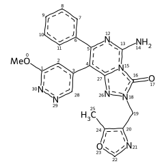 COc1cc(-c2c(-c3ccccc3)nc(N)n3c(=O)n(Cc4ncoc4C)nc23)cnn1